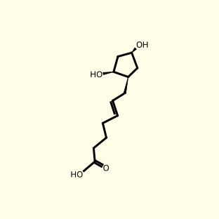 O=C(O)CCCC=CC[C@@H]1C[C@H](O)C[C@@H]1O